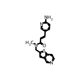 CN(Cc1cc2cnccc2s1)C(=O)C=Cc1ccc(N)nc1